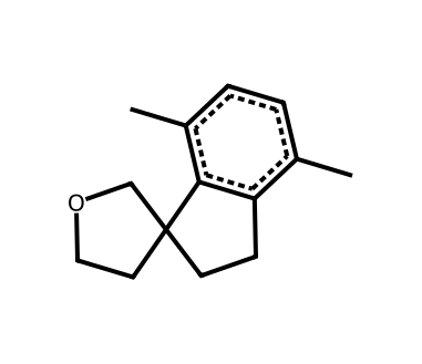 Cc1ccc(C)c2c1CCC21CCOC1